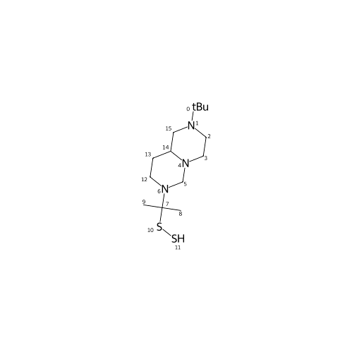 CC(C)(C)N1CCN2CN(C(C)(C)SS)CCC2C1